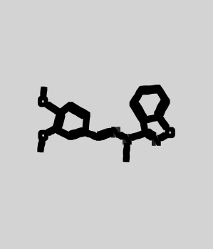 COc1ccc(/C=N/N(C)c2noc3ccccc23)cc1OC